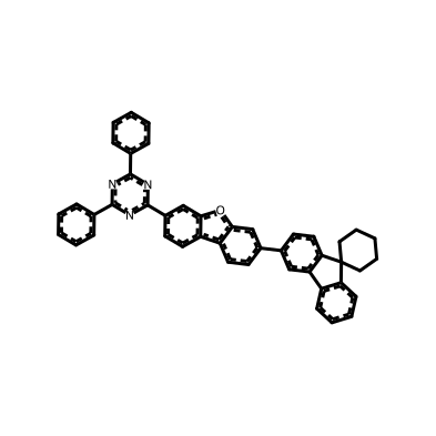 c1ccc(-c2nc(-c3ccccc3)nc(-c3ccc4c(c3)oc3cc(-c5ccc6c(c5)-c5ccccc5C65CCCCC5)ccc34)n2)cc1